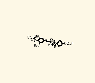 CCOCOc1c(C(C)(C)C)cc(C=CC(=O)NS(=O)(=O)c2ccc(C(=O)O)cc2)cc1C(C)(C)C